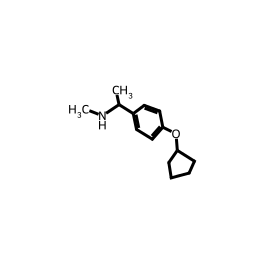 CNC(C)c1ccc(OC2CCCC2)cc1